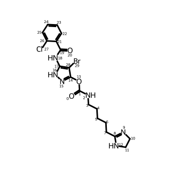 O=C(NCCCCCC1=NCCN1)Oc1n[nH]c(NC(=O)c2ccccc2Cl)c1Br